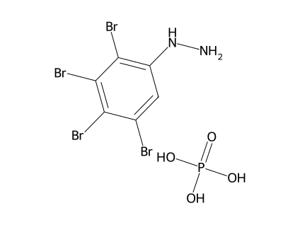 NNc1cc(Br)c(Br)c(Br)c1Br.O=P(O)(O)O